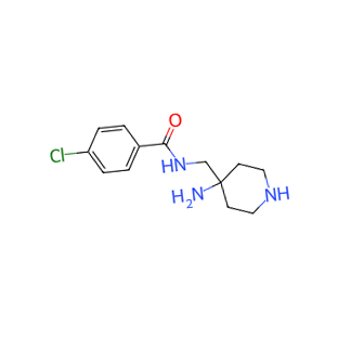 NC1(CNC(=O)c2ccc(Cl)cc2)CCNCC1